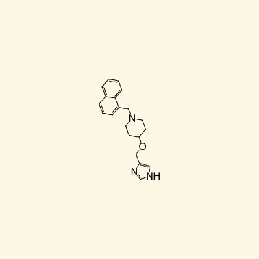 c1ccc2c(CN3CCC(OCc4c[nH]cn4)CC3)cccc2c1